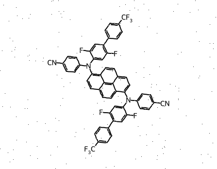 [C-]#[N+]c1ccc(N(c2cc(F)c(-c3ccc(C(F)(F)F)cc3)cc2F)c2ccc3ccc4c(N(c5ccc(C#N)cc5)c5cc(F)c(-c6ccc(C(F)(F)F)cc6)cc5F)ccc5ccc2c3c54)cc1